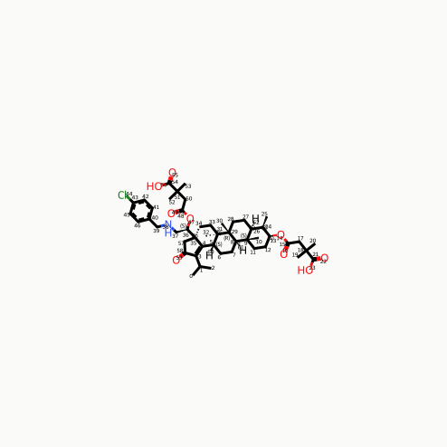 CC(C)C1=C2[C@H]3CC[C@@H]4[C@@]5(C)CC[C@H](OC(=O)CC(C)(C)C(=O)O)[C@H](C)[C@@H]5CC[C@@]4(C)[C@]3(C)CC[C@@]2([C@@H](CNCc2ccc(Cl)cc2)OC(=O)CC(C)(C)C(=O)O)CC1=O